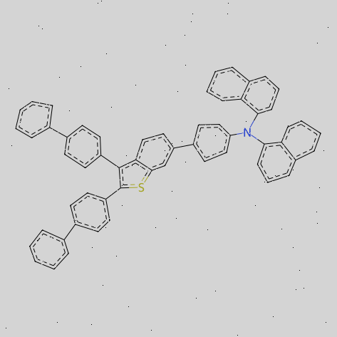 c1ccc(-c2ccc(-c3sc4cc(-c5ccc(N(c6cccc7ccccc67)c6cccc7ccccc67)cc5)ccc4c3-c3ccc(-c4ccccc4)cc3)cc2)cc1